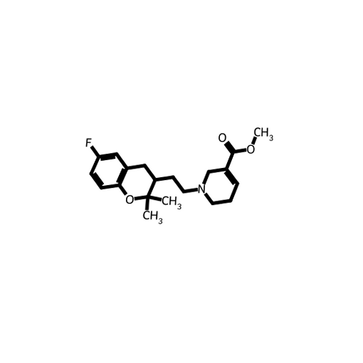 COC(=O)C1=CCCN(CCC2Cc3cc(F)ccc3OC2(C)C)C1